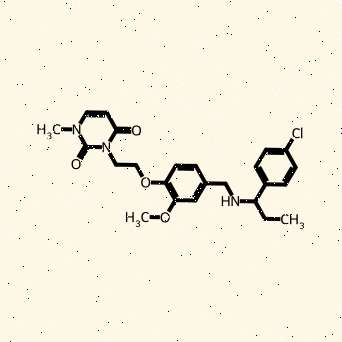 CCC(NCc1ccc(OCCn2c(=O)ccn(C)c2=O)c(OC)c1)c1ccc(Cl)cc1